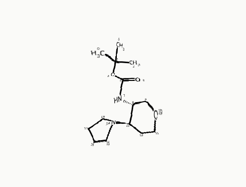 CC(C)(C)OC(=O)N[C@@H]1COCC[C@H]1N1CCCC1